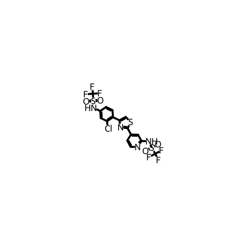 O=S(=O)(Nc1ccc(-c2csc(-c3ccnc(NS(=O)(=O)C(F)(F)F)c3)n2)c(Cl)c1)C(F)(F)F